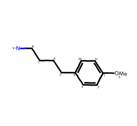 COc1ccc(CCCC[N])cc1